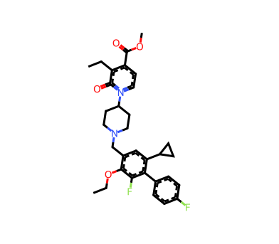 CCOc1c(CN2CCC(n3ccc(C(=O)OC)c(CC)c3=O)CC2)cc(C2CC2)c(-c2ccc(F)cc2)c1F